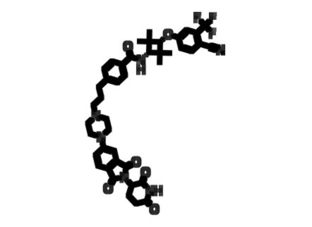 CC1(C)[C@H](NC(=O)c2ccc(CCCN3CCN(c4ccc5c(c4)C(=O)N(C4CCC(=O)NC4=O)C5=O)CC3)cc2)C(C)(C)[C@H]1Oc1ccc(C#N)c(C(F)(F)F)c1